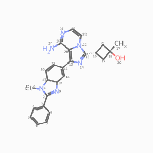 CCN1C(c2ccccc2)=NC2C=C(c3nc([C@H]4C[C@@](C)(O)C4)n4ccnc(N)c34)C=CC21